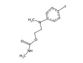 CNC(=O)OCCN(C)c1ccc(I)cc1